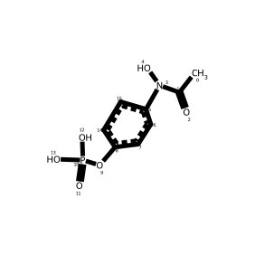 CC(=O)N(O)c1ccc(OP(=O)(O)O)cc1